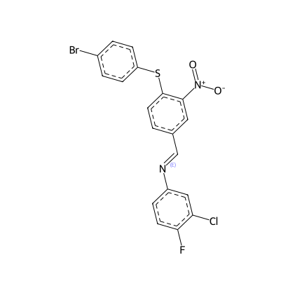 O=[N+]([O-])c1cc(/C=N/c2ccc(F)c(Cl)c2)ccc1Sc1ccc(Br)cc1